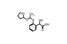 CC(Oc1ccccc1C(O)C(=O)O)OC1CCCO1